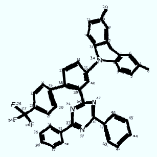 Cc1ccc2c(c1)c1cc(C)ccc1n2-c1ccc(-c2ccc(C(F)(F)F)cc2)c(-c2nc(-c3ccccc3)nc(-c3ccccc3)n2)c1